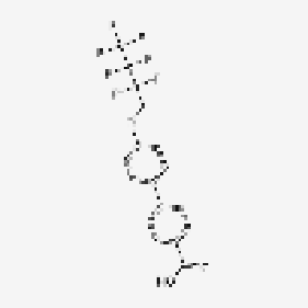 O=C(O)c1ccc(-c2ccc(OCC(F)(F)C(F)(F)C(F)(F)F)cc2)cc1